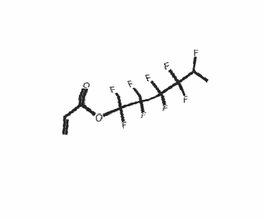 C=CC(=O)OC(F)(F)C(F)(F)C(F)(F)C(F)(F)C(C)F